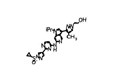 Cc1cn(CCO)nc1-c1cn(C(C)C)c2cc(Nc3ccnc(-c4cnn([S+]([O-])C5CC5)c4)n3)ncc12